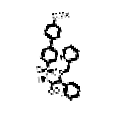 COc1ccc(-c2ccc(S(=O)(=O)NC(C(=O)O)C(SCc3ccccn3)c3ccccc3)cc2)cc1